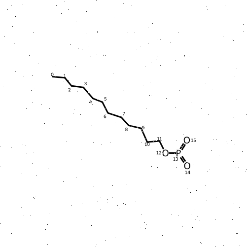 CCCCCCCCCCCCOP(=O)=O